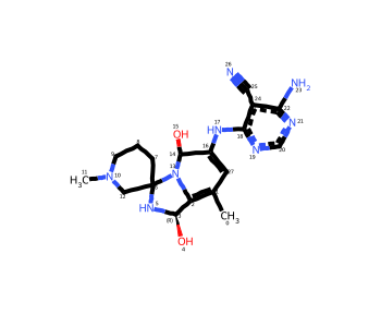 CC1=C2[C@@H](O)NC3(CCCN(C)C3)N2C(O)C(Nc2ncnc(N)c2C#N)=C1